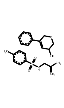 C=C(C)CNS(=O)(=O)c1ccc(C)cc1.CC1C=C(c2ccccc2)COC1